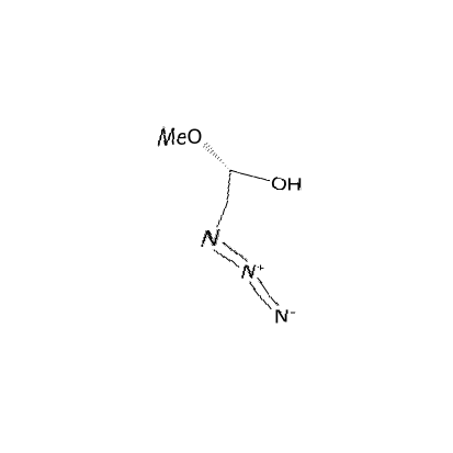 CO[C@H](O)N=[N+]=[N-]